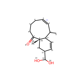 CC1/C=C\CCCC(=O)[C@H]2CC(C(O)O)C=CC12